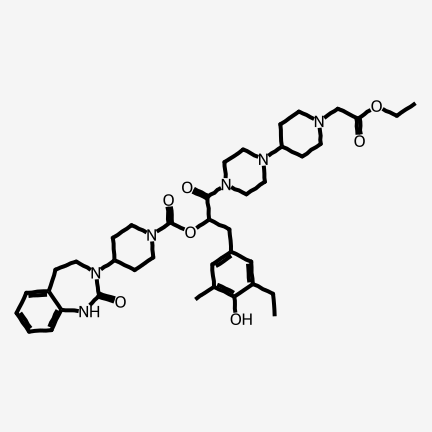 CCOC(=O)CN1CCC(N2CCN(C(=O)C(Cc3cc(C)c(O)c(CC)c3)OC(=O)N3CCC(N4CCc5ccccc5NC4=O)CC3)CC2)CC1